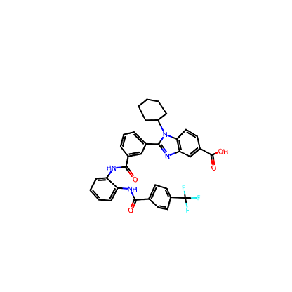 O=C(O)c1ccc2c(c1)nc(-c1cccc(C(=O)Nc3ccccc3NC(=O)c3ccc(C(F)(F)F)cc3)c1)n2C1CCCCC1